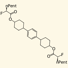 CCCCC[C@H](F)C(=O)OC1CCC(c2ccc(C3CCC(OC(=O)[C@@H](F)CCCCC)CC3)cc2)CC1